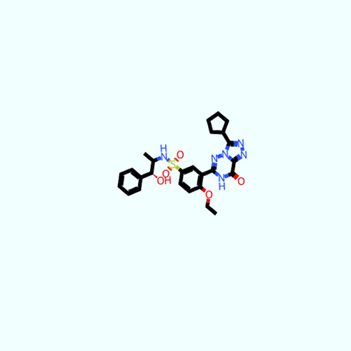 CCOc1ccc(S(=O)(=O)NC(C)[C@H](O)c2ccccc2)cc1-c1nn2c(C3CCCC3)nnc2c(=O)[nH]1